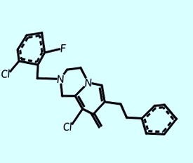 C=C1C(CCc2ccccc2)=CN2CCN(Cc3c(F)cccc3Cl)CC2=C1Cl